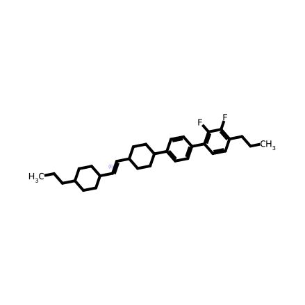 CCCc1ccc(-c2ccc(C3CCC(/C=C/C4CCC(CCC)CC4)CC3)cc2)c(F)c1F